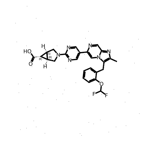 Cc1nc2cnc(-c3cnc(N4C[C@@H]5[C@H](C4)[C@H]5C(=O)O)nc3)cn2c1Cc1ccccc1OC(F)F